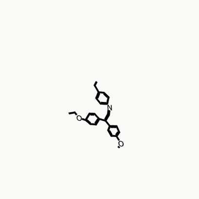 CCOc1ccc(C(=C=Nc2ccc(CC)cc2)c2ccc(OC)cc2)cc1